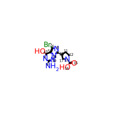 Nc1nc(O)c2c(Br)nc([C@H]3CCN(C(=O)O)C3)n2n1